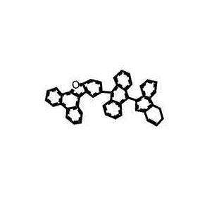 C1=Cc2cc(-c3c4ccccc4c(-c4ccc5oc6c7ccccc7c7ccccc7c6c5c4)c4ccccc34)c3ccccc3c2CC1